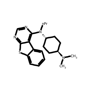 CCCN(c1ncnc2sc3ccccc3c12)[C@H]1CC[C@H](N(C)C)CC1